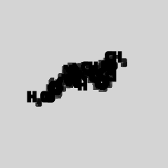 COc1ccc(Cn2cnc3c(NC(C)c4cc5cccc(Cl)c5c(-c5cc(C)on5)n4)ncnc32)cc1